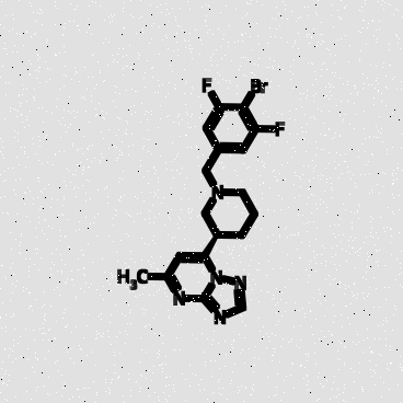 Cc1cc([C@@H]2CCCN(Cc3cc(F)c(Br)c(F)c3)C2)n2ncnc2n1